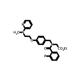 CCOC(=O)CN(Cc1ccc(OCCN(C)c2ccccn2)cc1)C(=O)c1ccccc1F